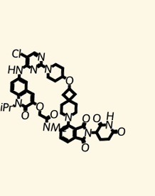 CNC(=O)COc1cc2cc(Nc3nc(N4CCC(OC5CC6(CCN(c7cccc8c7C(=O)N(C7CCC(=O)NC7=O)C8=O)CC6)C5)CC4)ncc3Cl)ccc2n(C(C)C)c1=O